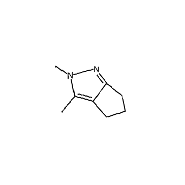 Cc1c2c(nn1C)CCC2